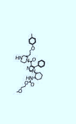 COCCOC(=O)N[C@H]1CCCC[C@@H]1n1cnc(C(=O)N2CCNC[C@H]2CCOc2ccc(C)cc2)c1-c1ccccc1